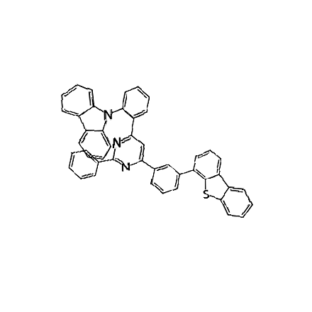 c1ccc(-c2nc(-c3cccc(-c4cccc5c4sc4ccccc45)c3)cc(-c3ccccc3-n3c4ccccc4c4ccccc43)n2)cc1